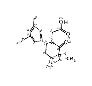 CCC1(CC)NC[C@H](c2cc(F)cc(F)c2)N(CC(=O)O)C1=O